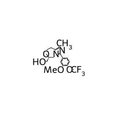 COc1cc(-c2nc(C)c3n2C[C@@H](CO)OCC3)ccc1OC(F)(F)F